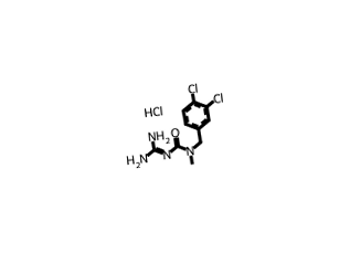 CN(Cc1ccc(Cl)c(Cl)c1)C(=O)N=C(N)N.Cl